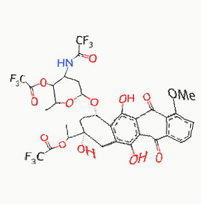 COc1cccc2c1C(=O)c1c(O)c3c(c(O)c1C2=O)C[C@@](O)(C(C)OC(=O)C(F)(F)F)C[C@@H]3OC1CC(NC(=O)C(F)(F)F)C(OC(=O)C(F)(F)F)C(C)O1